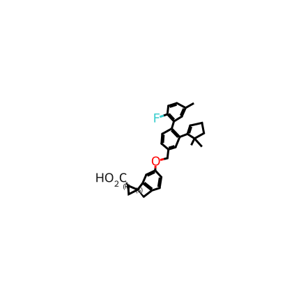 Cc1ccc(F)c(-c2ccc(COc3ccc4c(c3)[C@]3(C4)C[C@H]3C(=O)O)cc2C2=CCCC2(C)C)c1